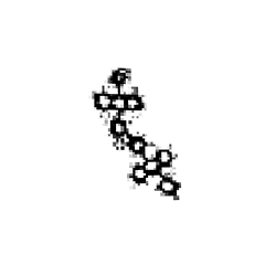 c1ccc(-c2c3ccccc3c(-c3ccc4c(c3)oc3ccc(-c5c6ccccc6c(-c6ccoc6)c6ccccc56)cc34)c3ccccc23)cc1